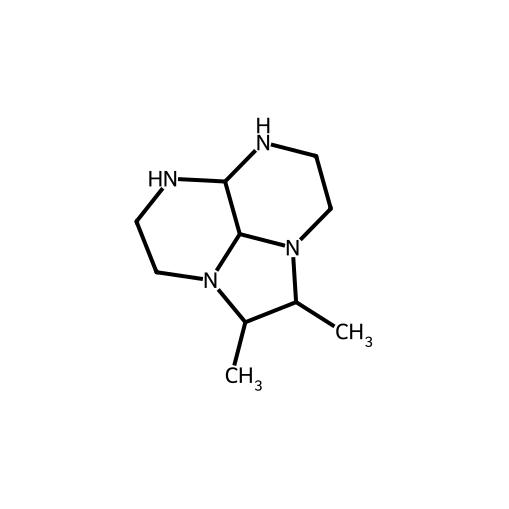 CC1C(C)N2CCNC3NCCN1C32